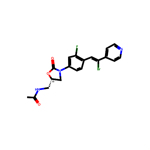 CC(=O)NC[C@H]1CN(c2ccc(C=C(Br)c3ccncc3)c(F)c2)C(=O)O1